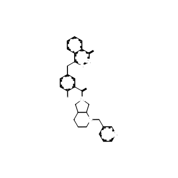 O=C(c1cc(Cc2n[nH]c(=O)c3ccccc23)ccc1F)N1CC2CCCN(Cc3cccnc3)C2C1